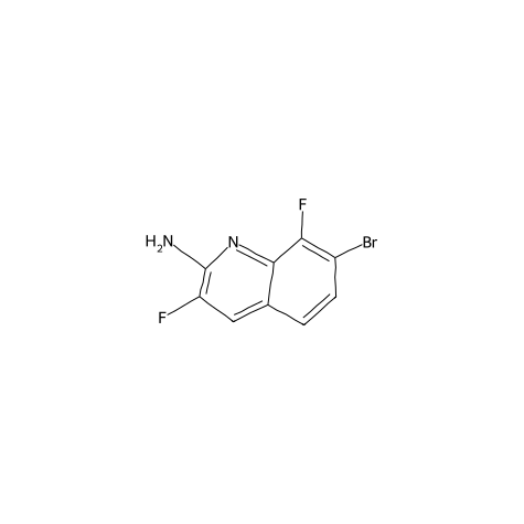 Nc1nc2c(F)c(Br)ccc2cc1F